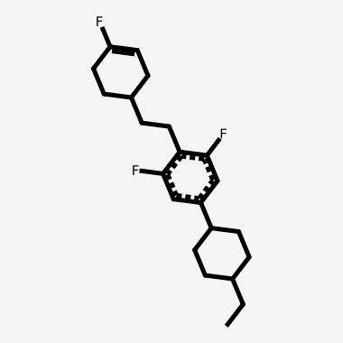 CCC1CCC(c2cc(F)c(CCC3CC=C(F)CC3)c(F)c2)CC1